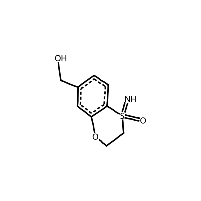 N=S1(=O)CCOc2cc(CO)ccc21